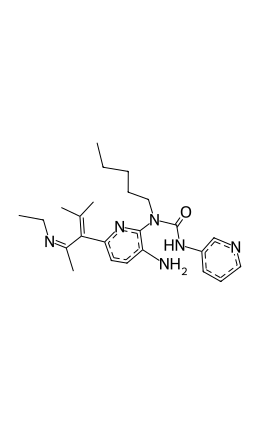 CCCCCN(C(=O)Nc1cccnc1)c1nc(C(=C(C)C)/C(C)=N\CC)ccc1N